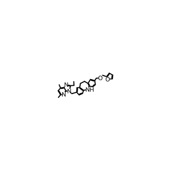 CCc1nc2c(C)cc(C)nc2n1Cc1ccc2c(c1)CCc1cc(COCc3ccco3)ccc1N2